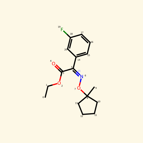 CCOC(=O)/C(=N\OC1(C)CCCC1)c1cccc(F)c1